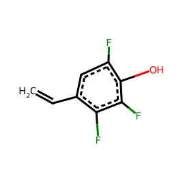 C=Cc1cc(F)c(O)c(F)c1F